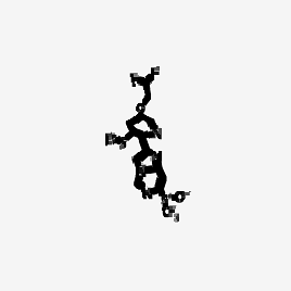 CCSc1cc(OCC(F)F)cnc1-c1cn2cnc([S+]([O-])C(F)(F)F)cc2n1